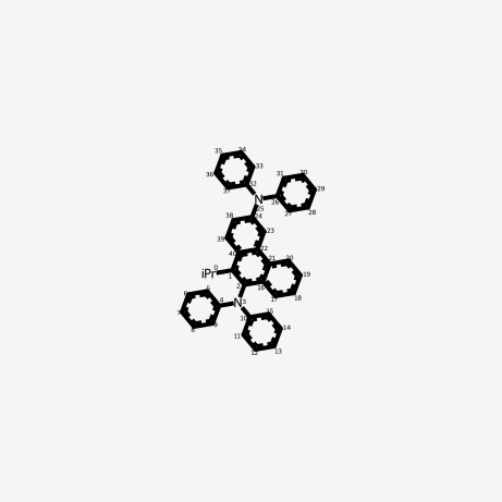 CC(C)c1c(N(c2ccccc2)c2ccccc2)c2ccccc2c2cc(N(c3ccccc3)c3ccccc3)ccc12